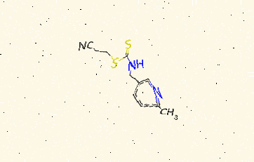 Cc1ccc(CNC(=S)SCCC#N)cn1